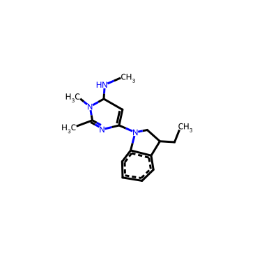 CCC1CN(C2=CC(NC)N(C)C(C)=N2)c2ccccc21